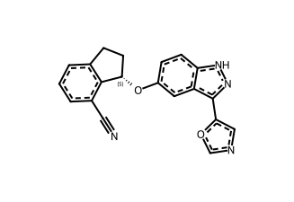 N#Cc1cccc2c1[C@@H](Oc1ccc3[nH]nc(-c4cnco4)c3c1)CC2